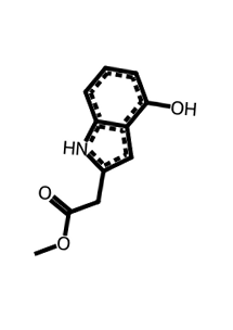 COC(=O)Cc1cc2c(O)cccc2[nH]1